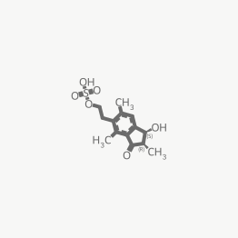 Cc1cc2c(c(C)c1CCOS(=O)(=O)O)C(=O)[C@H](C)[C@@H]2O